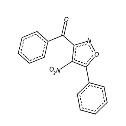 O=C(c1ccccc1)c1noc(-c2ccccc2)c1[N+](=O)[O-]